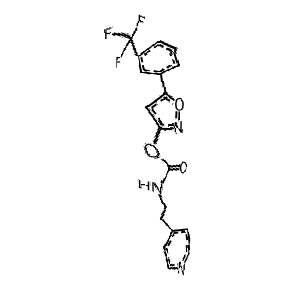 O=C(NCCc1ccncc1)Oc1cc(-c2cccc(C(F)(F)F)c2)on1